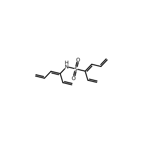 C=C/C=C(\C=C)NS(=O)(=O)/C(C=C)=C/C=C